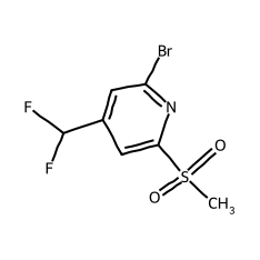 CS(=O)(=O)c1cc(C(F)F)cc(Br)n1